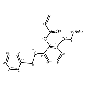 C=CC(=O)Oc1c(OCOC)cccc1OCc1ccccc1